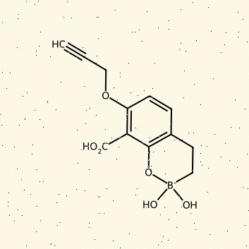 C#CCOc1ccc2c(c1C(=O)O)O[B-](O)(O)CC2